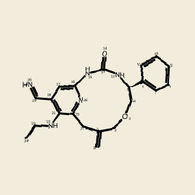 C=C1COC[C@H](c2ccccc2)NC(=O)Nc2cc(C=N)c(NCC)c(n2)C1